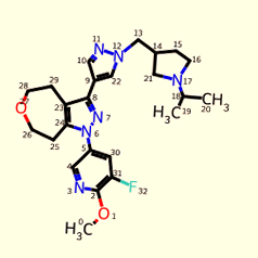 COc1ncc(-n2nc(-c3cnn(CC4CCN(C(C)C)C4)c3)c3c2CCOCC3)cc1F